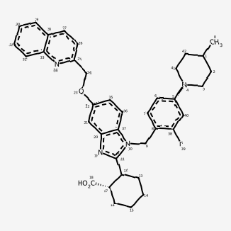 CC1CCN(c2ccc(Cn3c(C4CCCC[C@@H]4C(=O)O)nc4cc(OCc5ccc6ccccc6n5)ccc43)c(F)c2)CC1